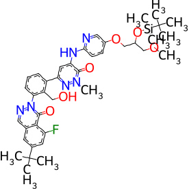 COCC(COc1ccc(Nc2cc(-c3cccc(-n4ncc5cc(C(C)(C)C)cc(F)c5c4=O)c3CO)nn(C)c2=O)nc1)O[Si](C)(C)C(C)(C)C